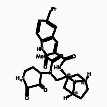 COC(=O)N(CCN1[C@@H]2CC[C@H]1C[C@H](NC(=O)c1cc3cc(C(C)C)ccc3[nH]c1=O)C2)C1CC[SH4]C(=O)C1=O